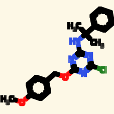 COc1ccc(COc2nc(Cl)nc(NC(C)(C)c3ccccc3)n2)cc1